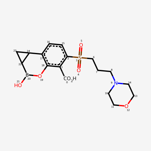 O=C(O)c1c(S(=O)(=O)CCCN2CCOCC2)ccc2c1OB(O)C1CC21